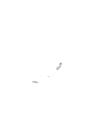 O=[C]OCC#CBr